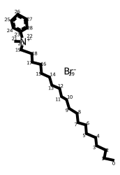 CCCCCCCCCCCCCCCCCCCC[N+](C)(C)c1ccccc1.[Br-]